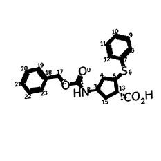 O=C(N[C@H]1CC(Sc2ccccc2)[C@H](C(=O)O)C1)OCc1ccccc1